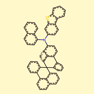 c1ccc2c(c1)-c1cccc3cccc(c13)C21c2ccccc2-c2ccc(N(c3ccc4c(c3)sc3ccccc34)c3cccc4ccccc34)c3cccc1c23